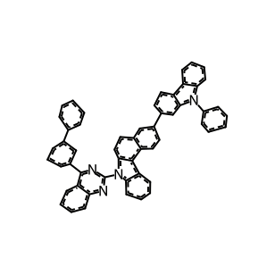 c1ccc(-c2cccc(-c3nc(-n4c5ccccc5c5c6ccc(-c7ccc8c9ccccc9n(-c9ccccc9)c8c7)cc6ccc54)nc4ccccc34)c2)cc1